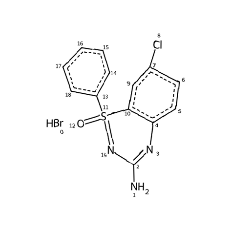 Br.NC1=Nc2ccc(Cl)cc2S(=O)(c2ccccc2)=N1